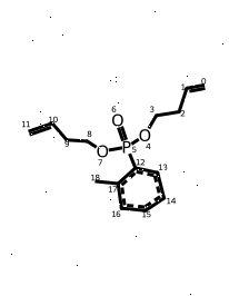 C=CCCOP(=O)(OCCC=C)c1ccccc1C